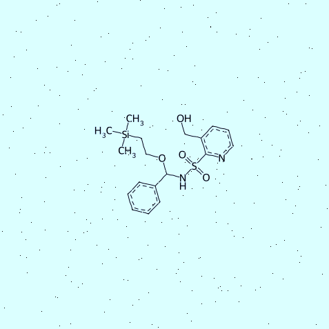 C[Si](C)(C)CCOC(NS(=O)(=O)c1ncccc1CO)c1ccccc1